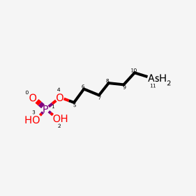 O=P(O)(O)OCCCCCC[AsH2]